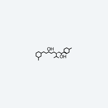 CC1CC=C(C(O)C[C@H](CC[C@H](O)CCC2CCCC(C)C2)C(C)C)CC1